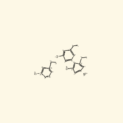 CCc1cccc([O-])c1.CCc1cccc([O-])c1.CCc1cccc([O-])c1.[Al+3]